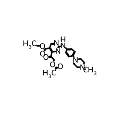 CCOC(=O)c1cnc(Nc2ccc(N3CCN(C)CC3)cc2)nc1C(=O)COC(C)=O